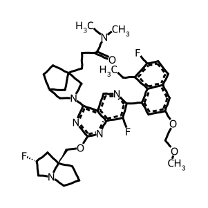 CCc1c(F)ccc2cc(OCOC)cc(-c3ncc4c(N5CC6CCC(CCC(=O)N(C)C)(C6)C5)nc(OC[C@@]56CCCN5C[C@H](F)C6)nc4c3F)c12